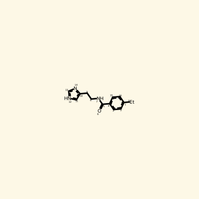 CCc1ccc(C(=O)NCCc2c[nH]cn2)cc1